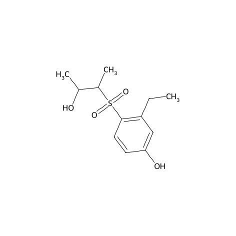 CCc1cc(O)ccc1S(=O)(=O)C(C)C(C)O